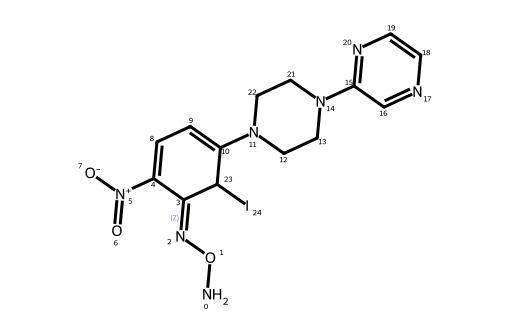 NO/N=C1/C([N+](=O)[O-])=CC=C(N2CCN(c3cnccn3)CC2)C1I